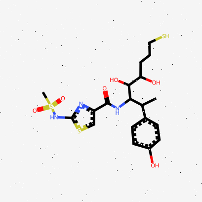 CC(c1ccc(O)cc1)C(NC(=O)c1csc(NS(C)(=O)=O)n1)C(O)C(O)CCCS